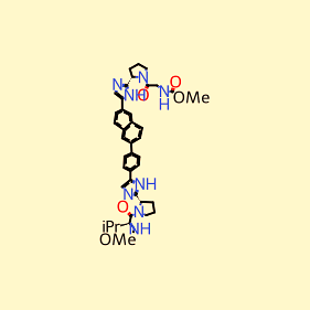 CON[C@H](C(=O)N1CCC[C@H]1c1ncc(-c2ccc(-c3ccc4cc(-c5cnc([C@@H]6CCCN6C(=O)CNC(=O)OC)[nH]5)ccc4c3)cc2)[nH]1)C(C)C